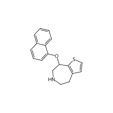 c1ccc2c(OC3CNCCc4ccsc43)cccc2c1